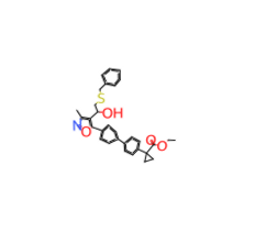 CCOC(=O)C1(c2ccc(-c3ccc(-c4onc(C)c4[C@H](O)CSCc4ccccc4)cc3)cc2)CC1